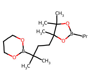 CC(C)B1OC(C)(C)C(C)(CCC(C)(C)B2OCCCO2)O1